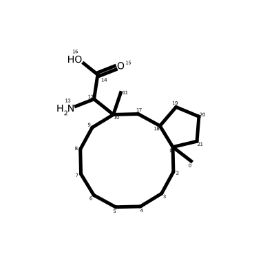 CC12CCCCCCCCC(C)(C(N)C(=O)O)CC1CCC2